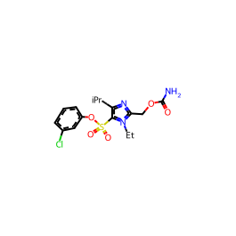 CCn1c(COC(N)=O)nc(C(C)C)c1S(=O)(=O)Oc1cccc(Cl)c1